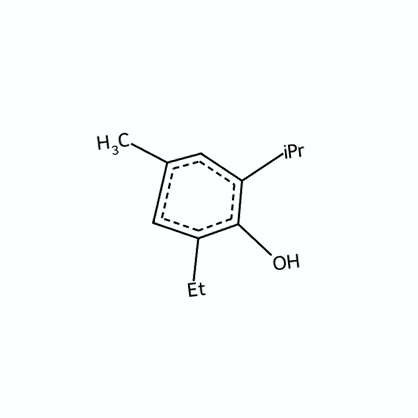 CCc1cc(C)cc(C(C)C)c1O